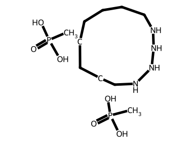 C1CCCCNNNNCCC1.CP(=O)(O)O.CP(=O)(O)O